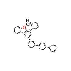 Cc1ccccc1-c1cc(-c2cccc(-c3ccc(-c4ccccc4)cc3)c2)cc2c1oc1ccccc12